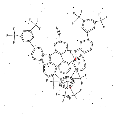 N#Cc1cc(-n2c3cc(-c4cc(C(F)(F)F)cc(C(F)(F)F)c4)ccc3c3ccc(-c4cc(C(F)(F)F)cc(C(F)(F)F)c4)cc32)c(-c2ccc(C(F)(F)F)cc2C(F)(F)F)c(-n2c3cc(-c4cc(C(F)(F)F)cc(C(F)(F)F)c4)ccc3c3ccc(-c4cc(C(F)(F)F)cc(C(F)(F)F)c4)cc32)c1